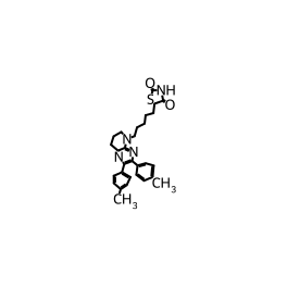 Cc1ccc(-c2nc3c(nc2-c2ccc(C)cc2)N(CCCCCC2SC(=O)NC2=O)CCC3)cc1